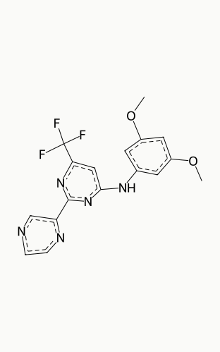 COc1cc(Nc2cc(C(F)(F)F)nc(-c3cnccn3)n2)cc(OC)c1